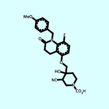 COc1ccc(CN2C(=O)CCc3c(OCC4(O)CCN(C(=O)O)CC4C#N)ccc(F)c32)cc1